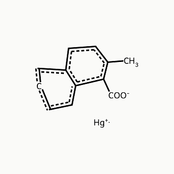 Cc1ccc2ccccc2c1C(=O)[O-].[Hg+]